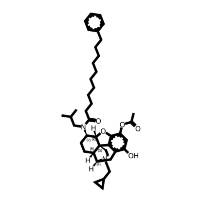 CC(=O)Oc1cc(O)c2c3c1O[C@H]1[C@H](N(CC(C)C)C(=O)CCCCCCCCCCc4ccccc4)CC[C@H]4[C@@H](C2)N(CC2CC2)CC[C@@]341